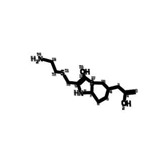 C=C(O)CC1CCC2NC(CSCCN)=C(O)B2C1